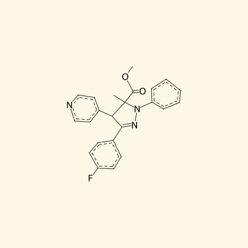 COC(=O)C1(C)C(c2ccncc2)C(c2ccc(F)cc2)=NN1c1ccccc1